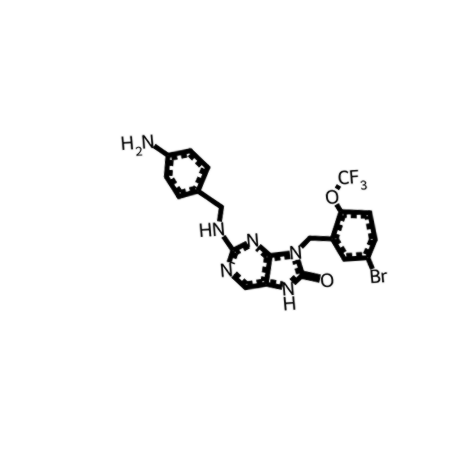 Nc1ccc(CNc2ncc3[nH]c(=O)n(Cc4cc(Br)ccc4OC(F)(F)F)c3n2)cc1